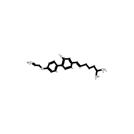 C=CCOc1ccc(-c2ccc(/C=C/CCCC(C)O)cc2F)cc1